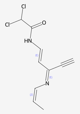 C#CC(/C=C/NC(=O)C(Cl)Cl)=N/C=C\C